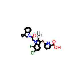 Cc1c(Sc2cccc(C(=O)O)n2)c2ccc(Cl)c(F)c2n1CC(=O)N1CC2(CC2)c2ccccc21